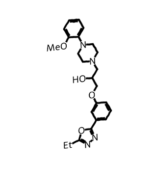 CCc1nnc(-c2cccc(OCC(O)CN3CCN(c4ccccc4OC)CC3)c2)o1